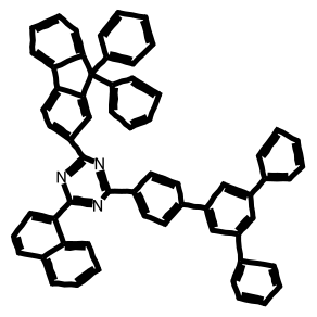 c1ccc(-c2cc(-c3ccccc3)cc(-c3ccc(-c4nc(-c5ccc6c(c5)C(c5ccccc5)(c5ccccc5)c5ccccc5-6)nc(-c5cccc6ccccc56)n4)cc3)c2)cc1